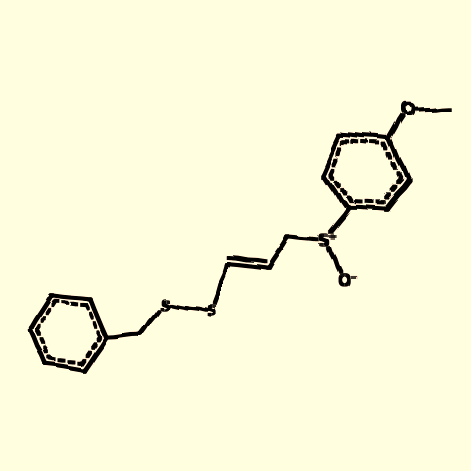 COc1ccc([S+]([O-])CC=CSSCc2ccccc2)cc1